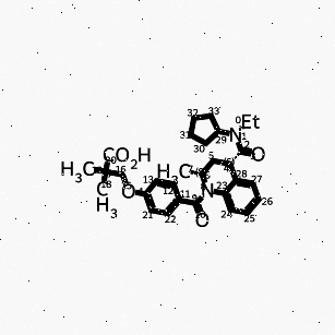 CCN(C(=O)[C@H]1C[C@H](C)N(C(=O)c2ccc(OCC(C)(C)C(=O)O)cc2)c2ccccc21)C1CCCC1